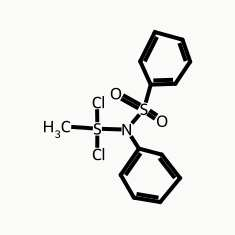 CS(Cl)(Cl)N(c1ccccc1)S(=O)(=O)c1ccccc1